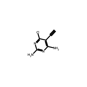 C#Cc1c(N)nc(N)nc1Cl